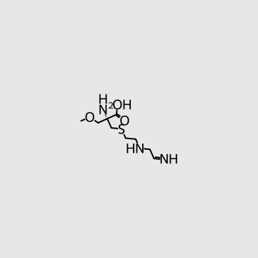 COC[C@](N)(CSCCNCC=N)C(=O)O